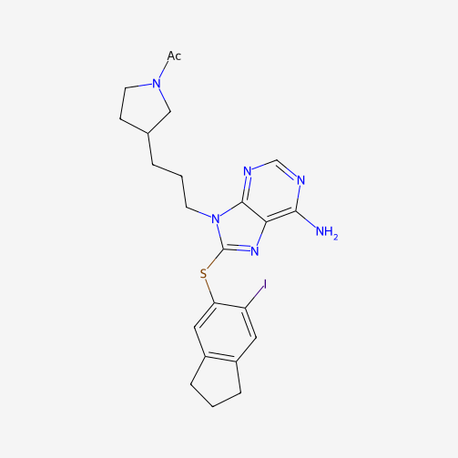 CC(=O)N1CCC(CCCn2c(Sc3cc4c(cc3I)CCC4)nc3c(N)ncnc32)C1